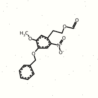 COc1cc(CCO[C]=O)c([N+](=O)[O-])cc1OCc1ccccc1